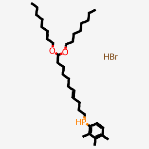 Br.CCCCCCCCOC(CCCCCC=CCCCPc1ccc(C)c(C)c1C)OCCCCCCCC